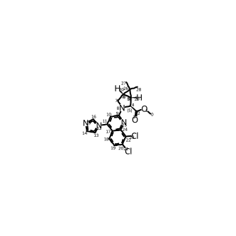 COC(=O)[C@@H]1[C@@H]2[C@H](CN1c1cc(-n3ccnc3)c3ccc(Cl)c(Cl)c3n1)C2(C)C